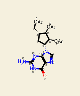 CC(=O)OC[C@H]1C[C@@H](n2cnc3c(=O)[nH]c(N)nc32)[C@H](OC(C)=O)[C@@H]1OC(C)=O